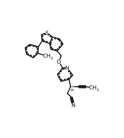 CC#C[C@@H](CC#N)c1ccc(OCc2ccc3scc(-c4ccccc4C)c3c2)nc1